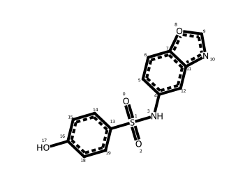 O=S(=O)(Nc1ccc2ocnc2c1)c1ccc(O)cc1